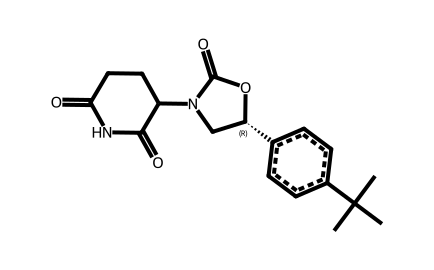 CC(C)(C)c1ccc([C@@H]2CN(C3CCC(=O)NC3=O)C(=O)O2)cc1